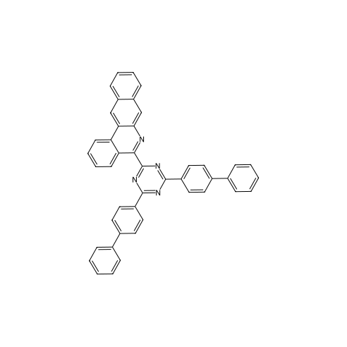 c1ccc(-c2ccc(-c3nc(-c4ccc(-c5ccccc5)cc4)nc(-c4nc5cc6ccccc6cc5c5ccccc45)n3)cc2)cc1